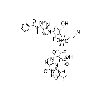 CC(C)C(=O)Nc1nc2c(ncn2[C@@H]2O[C@H](COP(=O)(OCCC#N)O[C@H]3[C@H](F)[C@H](n4cnc5c(NC(=O)c6ccccc6)ncnc54)O[C@@H]3CO)[C@@H](F)[C@H]2O[PH](=O)O)c(=O)[nH]1